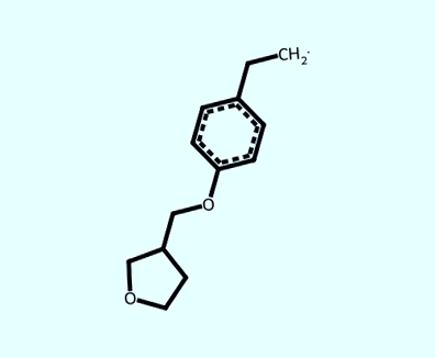 [CH2]Cc1ccc(OCC2CCOC2)cc1